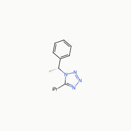 CC(C)c1nnnn1[C@H](C)c1ccccc1